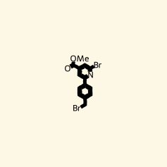 COC(=O)c1cc(Br)nc(-c2ccc(CBr)cc2)c1